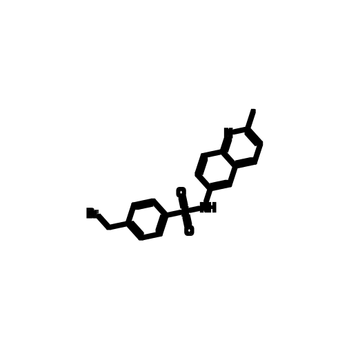 Cc1ccc2cc(NS(=O)(=O)c3ccc(CBr)cc3)ccc2n1